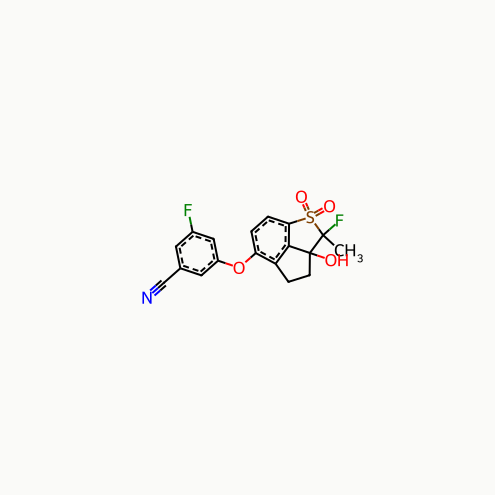 CC1(F)C2(O)CCc3c(Oc4cc(F)cc(C#N)c4)ccc(c32)S1(=O)=O